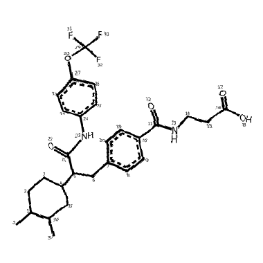 CC1CCC(C(Cc2ccc(C(=O)NCCC(=O)O)cc2)C(=O)Nc2ccc(OC(F)(F)F)cc2)CC1C